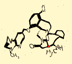 CNC(=O)C1CCCCC1C(=O)N1CCc2c(Cl)ccc(OCc3cnc4c(c3)ncn4C)c2[C@H]1CN1CCCC1=O